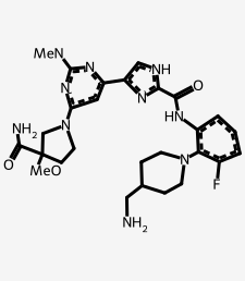 CNc1nc(-c2c[nH]c(C(=O)Nc3cccc(F)c3N3CCC(CN)CC3)n2)cc(N2CCC(OC)(C(N)=O)C2)n1